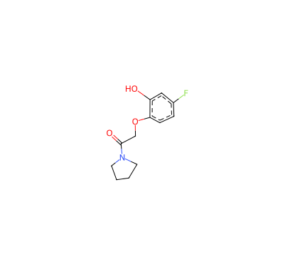 O=C(COc1ccc(F)cc1O)N1CCCC1